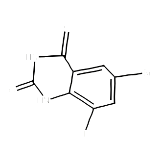 O=c1[nH]c(=O)c2cc(Br)cc(I)c2[nH]1